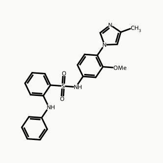 COc1cc(NS(=O)(=O)c2ccccc2Nc2ccccc2)ccc1-n1cnc(C)c1